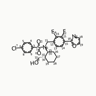 O=S(=O)(c1ccc(Cl)cc1)N(Cc1ccc(-c2ncco2)c(F)c1F)[C@H]1CCCC[C@@H]1CO